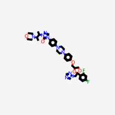 CC(C(C)n1ncn(-c2ccc(N3CCN(c4ccc(OCC5COC(Cn6cncn6)(c6ccc(F)cc6F)O5)cc4)CC3)cc2)c1=O)N1CCOCC1